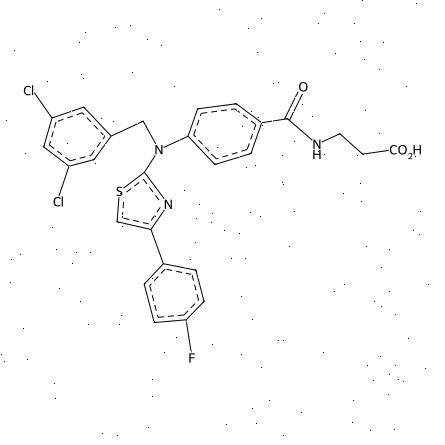 O=C(O)CCNC(=O)c1ccc(N(Cc2cc(Cl)cc(Cl)c2)c2nc(-c3ccc(F)cc3)cs2)cc1